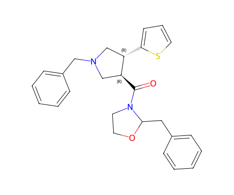 O=C([C@H]1CN(Cc2ccccc2)C[C@@H]1c1cccs1)N1CCOC1Cc1ccccc1